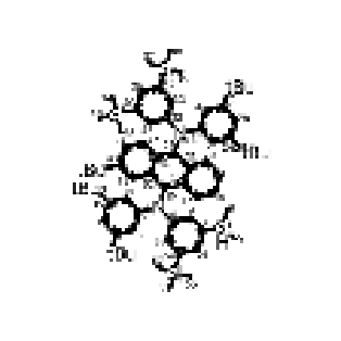 C[SiH](C)c1cc(N(c2cc(C(C)(C)C)cc(C(C)(C)C)c2)c2c3ccccc3c(N(c3cc(C(C)(C)C)cc(C(C)(C)C)c3)c3cc([Si](C)(C)C)cc([Si](C)(C)C)c3)c3ccc(C(C)(C)C)cc23)cc([Si](C)(C)C)c1